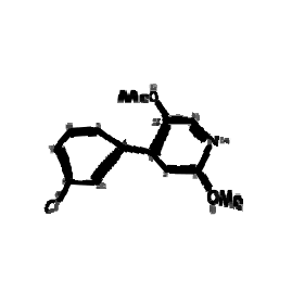 COc1cc(-c2[c]ccc(Cl)c2)c(OC)cn1